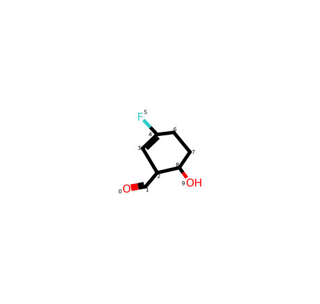 O=CC1C=C(F)CCC1O